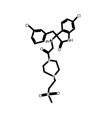 CC(C)N(CC(=O)N1CCN(CCS(C)(=O)=O)CC1)C1(Cc2cccc(Cl)c2)C(=O)Nc2cc(Cl)ccc21